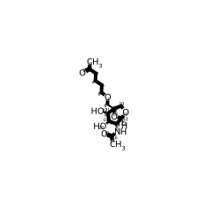 CC(=O)CCCCOC[C@@]12CO[C@H](O1)[C@H](NC(C)=O)[C@@H](O)[C@H]2O